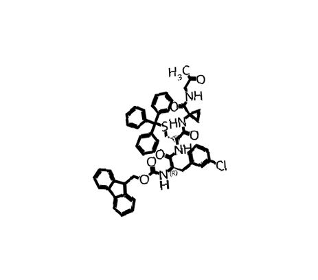 CC(=O)CNC(=O)C1(NC(=O)[C@@H](CSC(c2ccccc2)(c2ccccc2)c2ccccc2)NC(=O)[C@@H](Cc2cccc(Cl)c2)NC(=O)OCC2c3ccccc3-c3ccccc32)CC1